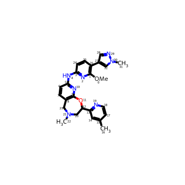 COc1nc(Nc2ccc3c(n2)OC(c2cc(C)ccn2)CN(C)C3)ccc1-c1cnn(C)c1